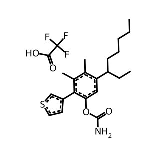 CCCCCC(CC)c1cc(OC(N)=O)c(-c2ccsc2)c(C)c1C.O=C(O)C(F)(F)F